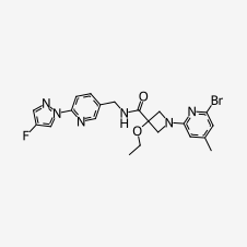 CCOC1(C(=O)NCc2ccc(-n3cc(F)cn3)nc2)CN(c2cc(C)cc(Br)n2)C1